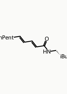 CCCCC/C=C/C=C/C(=O)NC[C@@H](C)CC